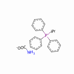 CC(C)[P+](c1ccccc1)(c1ccccc1)c1ccccc1.NC(=O)[O-]